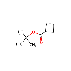 CC(C)(C)OC(=O)C1C[CH]C1